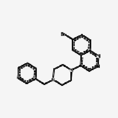 Brc1ccc2nncc(N3CCN(Cc4ccccc4)CC3)c2c1